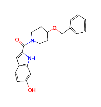 O=C(c1cc2ccc(O)cc2[nH]1)N1CCC(OCc2ccccc2)CC1